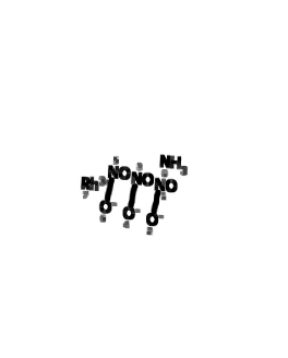 N.O=N[O-].O=N[O-].O=N[O-].[Rh+3]